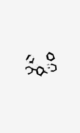 O=S1(=O)[C@@H](c2ccccc2)CCCN1Cc1cc(F)c(C2(Nc3cnccn3)CCOCC2)cc1F